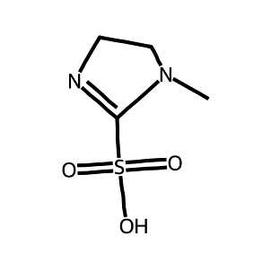 CN1CCN=C1S(=O)(=O)O